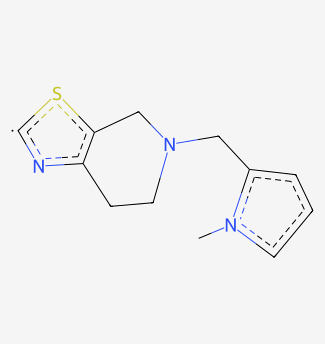 Cn1cccc1CN1CCc2n[c]sc2C1